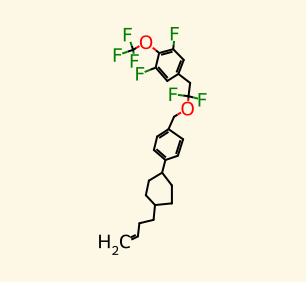 C=CCCC1CCC(c2ccc(COC(F)(F)Cc3cc(F)c(OC(F)(F)F)c(F)c3)cc2)CC1